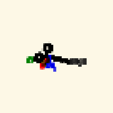 NS(=O)(=O)c1cc(Cl)ccc1C(NCCCCCCC(=O)O)c1ccccc1